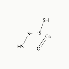 SSSS.[O]=[Co]